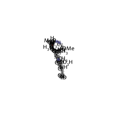 COc1cc2cc(c1Cl)N(C)C(=O)C[C@H](OC(=O)Cc1ccc(/C(C)=N/NC(=O)c3ccc(NC(=O)CCCCCN4C(=O)C=CC4=O)cc3S(=O)(=O)O)cc1)[C@]1(C)O[C@H]1[C@H](C)[C@@H]1C[C@@](O)(NC(=O)O1)[C@H](OC)/C=C/C=C(\C)C2